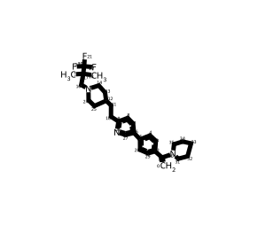 C=C(c1ccc(-c2ccc(CCC3CCN(CC(C)(C)C(F)(F)F)CC3)nc2)cc1)N1CCCCC1